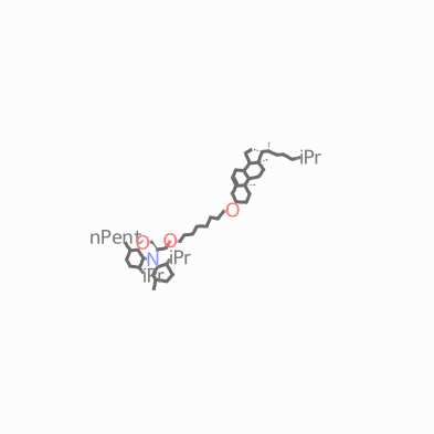 CCCCCOC[C@@H](COCCCCCCCCO[C@H]1CC[C@@]2(C)C(=CCC3C2CC[C@@]2(C)C3CC[C@@H]2[C@H](C)CCCC(C)C)C1)N(C1CC(C)CCC1C(C)C)C1CC(C)CCC1C(C)C